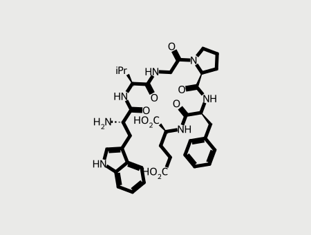 CC(C)[C@H](NC(=O)[C@@H](N)Cc1c[nH]c2ccccc12)C(=O)NCC(=O)N1CCC[C@H]1C(=O)N[C@@H](Cc1ccccc1)C(=O)N[C@@H](CCC(=O)O)C(=O)O